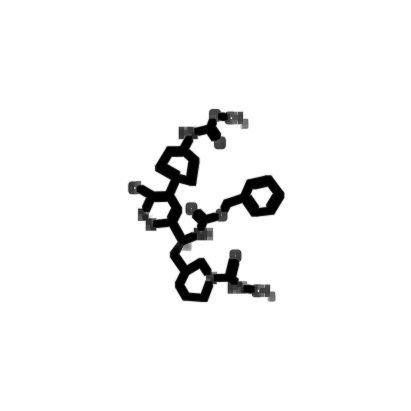 CNC(=O)N1CCCC(C[C@H](NC(=O)OCc2ccccc2)c2cc(-c3ccc(NC(=O)OC)cc3)c(Cl)nn2)C1